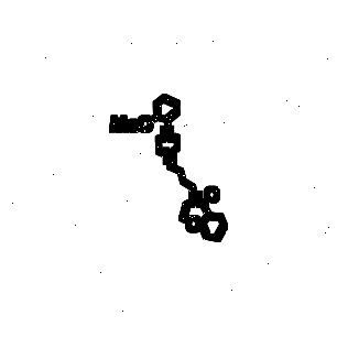 COc1ccccc1N1CCN(CCCCN2C=COc3ccccc3C2=O)CC1